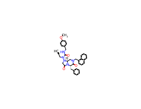 C#CCN(C(=O)NCc1ccc(OC)cc1)N1CC(=O)N2[C@@H](Cc3ccccc3)C(=O)N(Cc3cccc4ccccc34)C[C@@H]21